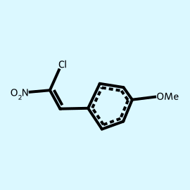 COc1ccc(C=C(Cl)[N+](=O)[O-])cc1